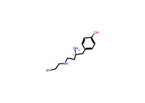 CC(C)CCNCC[C@@H](N)Cc1ccc(O)cc1